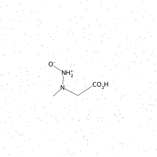 CN(CC(=O)O)[NH2+][O-]